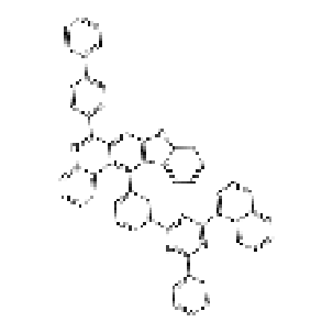 c1ccc(-c2ccc(-c3nc4ccccc4c4c(-c5cccc(-c6nc(-c7ccccc7)nc(-c7cccc8ccccc78)n6)c5)c5c(cc34)oc3ccccc35)cc2)cc1